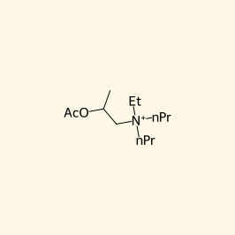 CCC[N+](CC)(CCC)CC(C)OC(C)=O